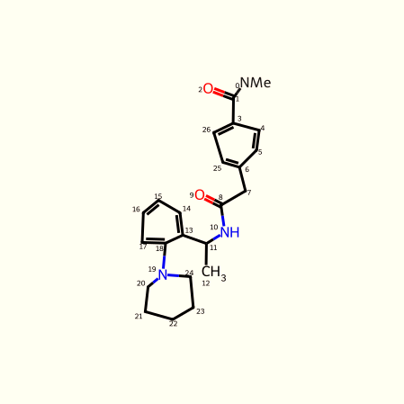 CNC(=O)c1ccc(CC(=O)NC(C)c2ccccc2N2CCCCC2)cc1